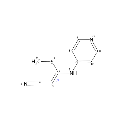 CS/C(=C\C#N)Nc1ccncc1